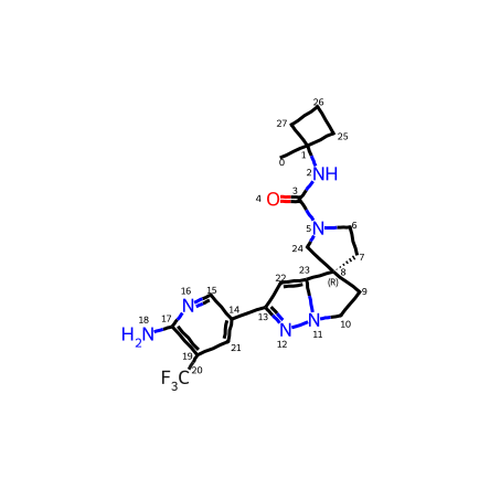 CC1(NC(=O)N2CC[C@@]3(CCn4nc(-c5cnc(N)c(C(F)(F)F)c5)cc43)C2)CCC1